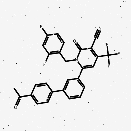 CC(=O)c1ccc(-c2cccc(-c3cc(C(F)(F)F)c(C#N)c(=O)n3Cc3ccc(F)cc3F)c2)cc1